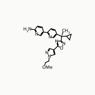 COCCn1cc(-c2nc([C@](C)(c3ccc(-c4ccc(N)nc4)nc3)C3CC3)no2)cn1